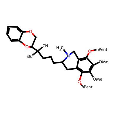 CCCCCOc1c2c(c(OCCCCC)c(OC)c1OC)CN(C)C(CCCC(C#N)(C(C)CC)C1COc3ccccc3O1)C2